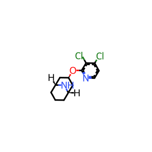 Clc1ccnc(O[C@@H]2C[C@H]3CCC[C@@H](C2)N3)c1Cl